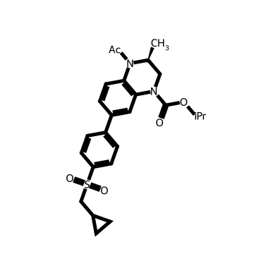 CC(=O)N1c2ccc(-c3ccc(S(=O)(=O)CC4CC4)cc3)cc2N(C(=O)OC(C)C)C[C@@H]1C